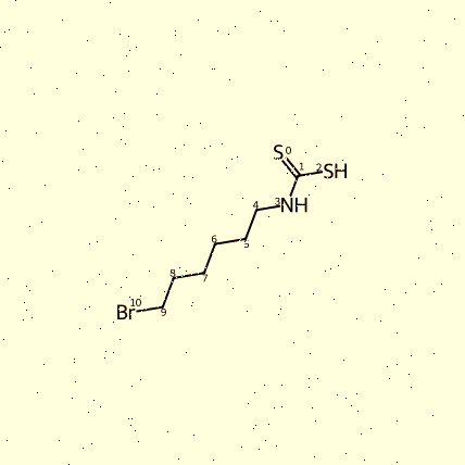 S=C(S)NCCCCCCBr